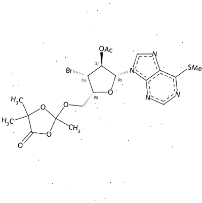 CSc1ncnc2c1ncn2[C@@H]1O[C@H](COC2(C)OC(=O)C(C)(C)O2)[C@H](Br)[C@H]1OC(C)=O